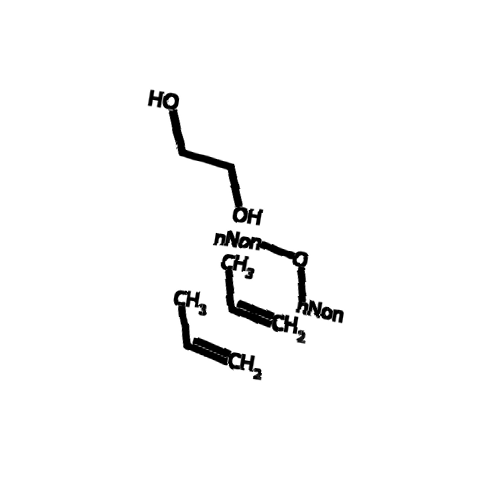 C=CC.C=CC.CCCCCCCCCOCCCCCCCCC.OCCO